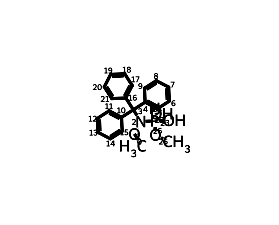 CON(C(c1ccccc1)(c1ccccc1)c1ccccc1)[PH](O)(O)OC